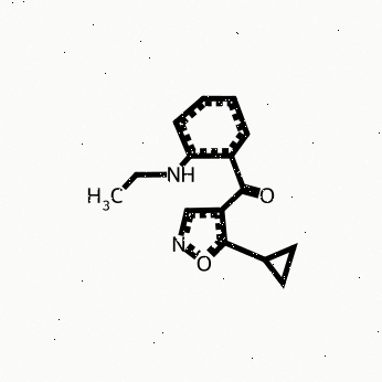 CCNc1ccccc1C(=O)c1cnoc1C1CC1